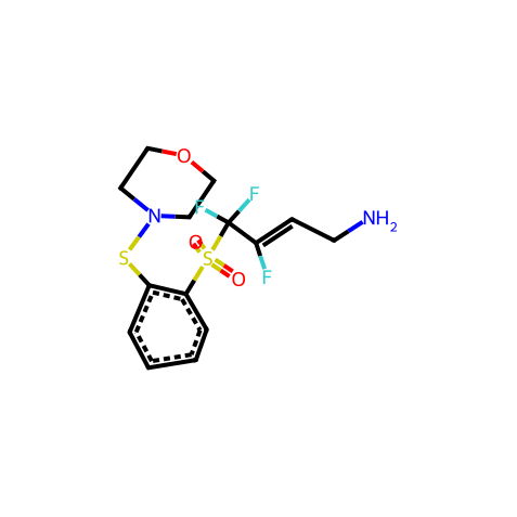 NC/C=C(\F)C(F)(F)S(=O)(=O)c1ccccc1SN1CCOCC1